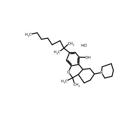 CCCCCCC(C)(C)c1cc(O)c2c(c1)OC(C)(C)C1CCC(N3CCCCC3)CC21.Cl